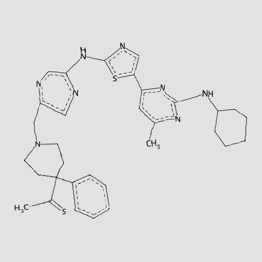 CC(=S)C1(c2ccccc2)CCN(Cc2cnc(Nc3ncc(-c4cc(C)nc(NC5CCCCC5)n4)s3)cn2)CC1